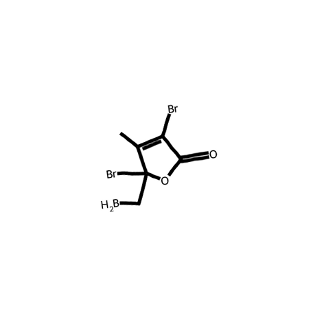 BCC1(Br)OC(=O)C(Br)=C1C